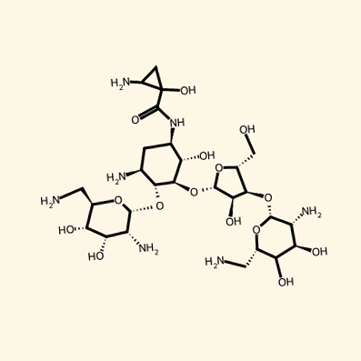 NC[C@@H]1O[C@H](O[C@H]2[C@@H](O)[C@H](O[C@@H]3[C@@H](O)[C@H](NC(=O)C4(O)CC4N)C[C@H](N)[C@H]3O[C@H]3O[C@H](CN)[C@@H](O)[C@@H](O)[C@H]3N)O[C@@H]2CO)[C@H](N)[C@@H](O)C1O